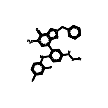 CCSNc1ccc(Nc2ccc(F)cc2F)c(-c2cn(C)c(=O)c3cn(Cc4ccccc4)nc23)c1